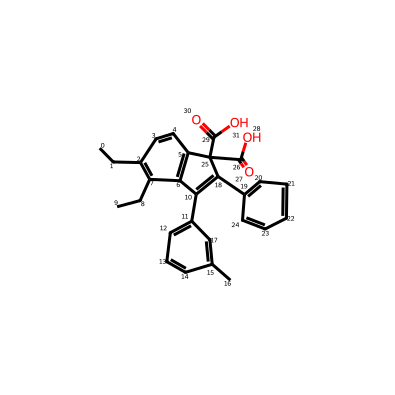 CCc1ccc2c(c1CC)C(c1cccc(C)c1)=C(c1ccccc1)C2(C(=O)O)C(=O)O